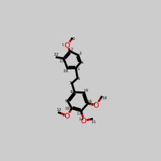 COc1ccc(CCc2cc(OC)c(OC)c(OC)c2)cc1C